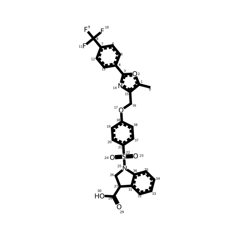 Cc1oc(-c2ccc(C(F)(F)F)cc2)nc1COc1ccc(S(=O)(=O)N2CC(C(=O)O)c3ccccc32)cc1